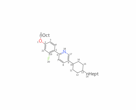 CCCCCCCCOc1ccc(-c2ccc(C3CCC(CCCCCCC)CC3)cn2)c(F)c1